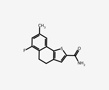 Cc1cc(F)c2c(c1)-c1sc(C(N)=O)cc1CC2